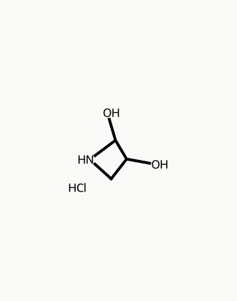 Cl.OC1CNC1O